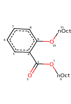 CCCCCCCCOC(=O)c1ccccc1OCCCCCCCC